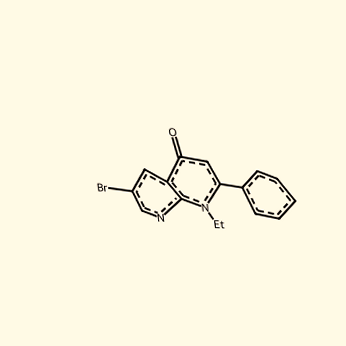 CCn1c(-c2ccccc2)cc(=O)c2cc(Br)cnc21